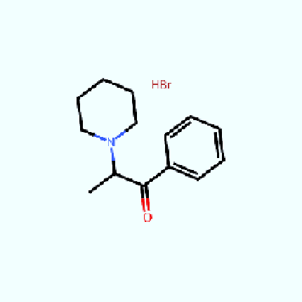 Br.CC(C(=O)c1ccccc1)N1CCCCC1